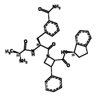 C[C@H](N)C(=O)N[C@@H](Cc1cccc(C(N)=O)c1)C(=O)N1CC(c2ccccc2)C1C(=O)N[C@@H]1CCc2ccccc21